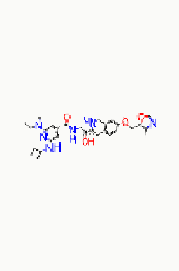 CCN(C)c1cc(C(=O)NC[C@@H](O)[C@@H]2Cc3ccc(OCc4ocnc4C)cc3CN2)cc(NC2CCC2)n1